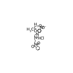 CC(C)Oc1cc([N+](=O)[O-])ccc1N1CCN(CCCN2C(=O)C3CC=CCC3C2=O)CC1.Cl